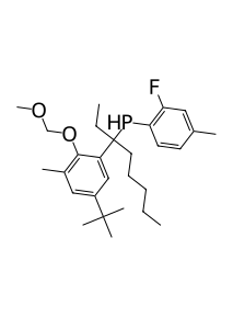 CCCCCC(CC)(Pc1ccc(C)cc1F)c1cc(C(C)(C)C)cc(C)c1OCOC